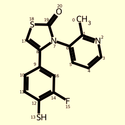 Cc1ncccc1-n1c(-c2ccc(S)c(F)c2)csc1=O